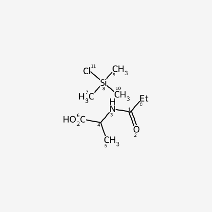 CCC(=O)NC(C)C(=O)O.C[Si](C)(C)Cl